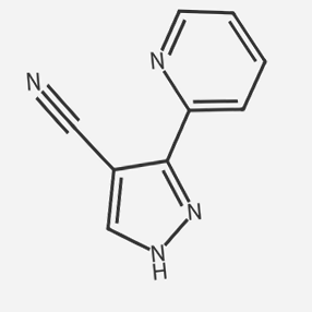 N#Cc1c[nH]nc1-c1ccccn1